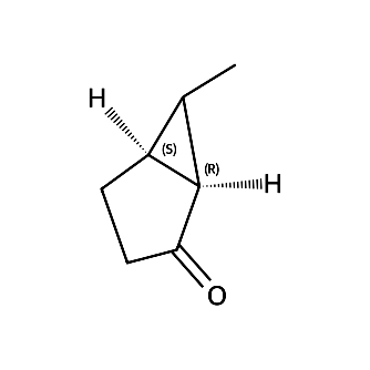 CC1[C@H]2C(=O)CC[C@@H]12